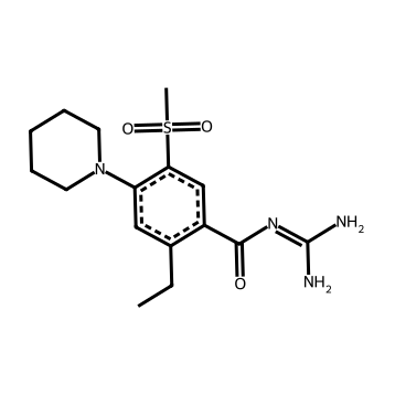 CCc1cc(N2CCCCC2)c(S(C)(=O)=O)cc1C(=O)N=C(N)N